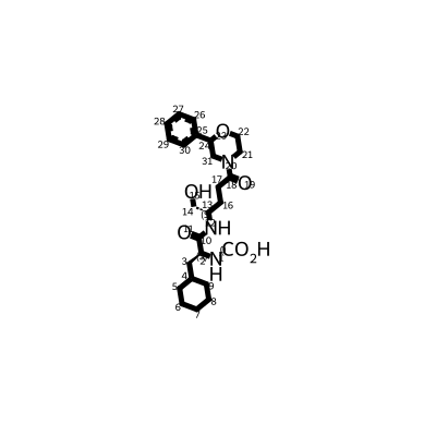 O=C(O)N[C@@H](CC1CCCCC1)C(=O)N[C@H](CO)CCC(=O)N1CCOC(c2ccccc2)C1